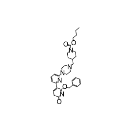 CCCCOC(=O)N1CCC(CN2CCN(c3cccc(C4=CCC(=O)N=C4OCc4ccccc4)n3)CC2)CC1